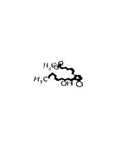 CC/C=C\C/C=C\C[C@H](O)C/C=C1/C(=O)C=C[C@@H]1C/C=C\CCCC(=O)OC